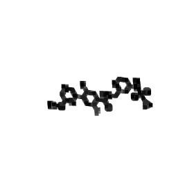 CCOc1cncc(-c2cc(F)c(C(=O)NCc3cc(NS(=O)(=O)C4CC4)ccn3)cc2F)n1